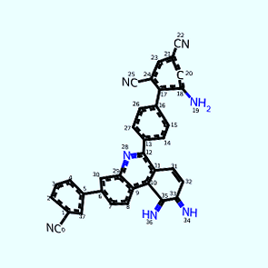 N#Cc1cccc(-c2ccc3c4c(c(-c5ccc(-c6c(N)cc(C#N)cc6C#N)cc5)nc3c2)C=CC(=N)C4=N)c1